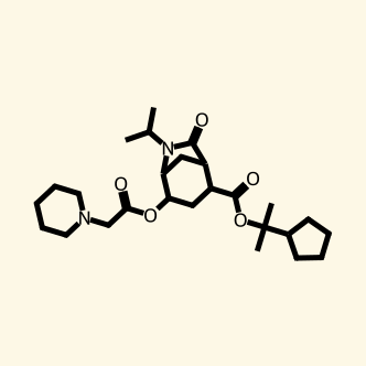 CC(C)N1C(=O)C2CC1C(OC(=O)CN1CCCCC1)CC2C(=O)OC(C)(C)C1CCCC1